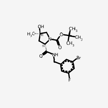 CC(C)(C)OC(=O)N1C[C@](C)(O)C[C@H]1C(=O)NCc1cc(F)cc(Br)c1